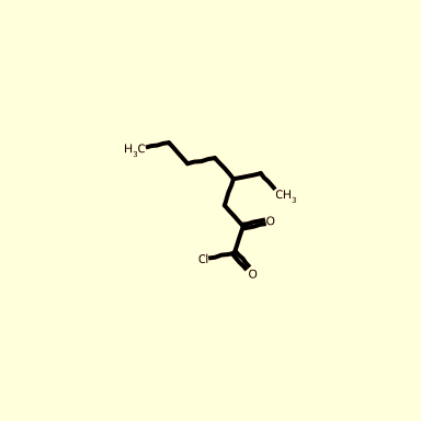 CCCCC(CC)CC(=O)C(=O)Cl